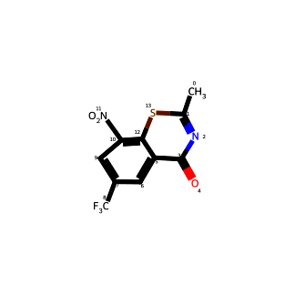 Cc1nc(=O)c2cc(C(F)(F)F)cc([N+](=O)[O-])c2s1